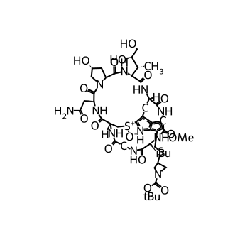 CC[C@H](C)[C@@H]1NC(=O)CNC(=O)[C@@H]2Cc3c([nH]c4c(CSC5CN(C(=O)OC(C)(C)C)C5)c(OC)ccc34)[S+]([O-])C[C@H](NC(=O)CNC1=O)C(=O)N[C@@H](CC(N)=O)C(=O)N1C[C@H](O)CC1C(=O)N[C@@H]([C@@H](C)[C@@H](O)CO)C(=O)N2